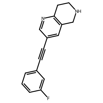 Fc1cccc(C#Cc2cnc3c(c2)CNCC3)c1